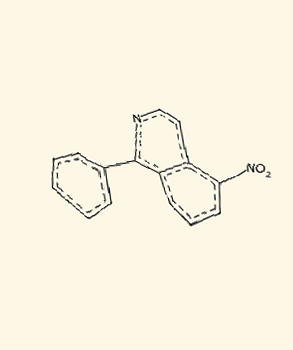 O=[N+]([O-])c1cccc2c(-c3ccccc3)nccc12